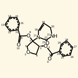 O=C(O[C@H]1COCC1(OC(=O)c1ccccc1)N1C=CCNC1=O)c1ccccc1